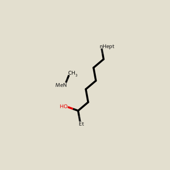 CNC.[CH2]CC(O)CCCCCCCCCCCC